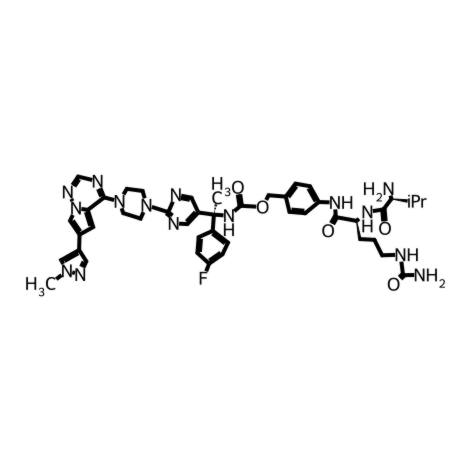 CC(C)[C@H](N)C(=O)N[C@@H](CCCNC(N)=O)C(=O)Nc1ccc(COC(=O)N[C@@](C)(c2ccc(F)cc2)c2cnc(N3CCN(c4ncnn5cc(-c6cnn(C)c6)cc45)CC3)nc2)cc1